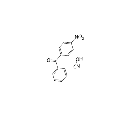 N#CO.O=C(c1ccccc1)c1ccc([N+](=O)[O-])cc1